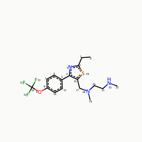 CCc1nc(-c2ccc(OC(F)(F)F)cc2)c(CN(C)CCNC)s1